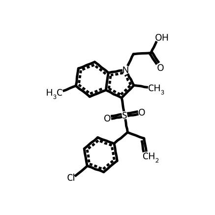 C=CC(c1ccc(Cl)cc1)S(=O)(=O)c1c(C)n(CC(=O)O)c2ccc(C)cc12